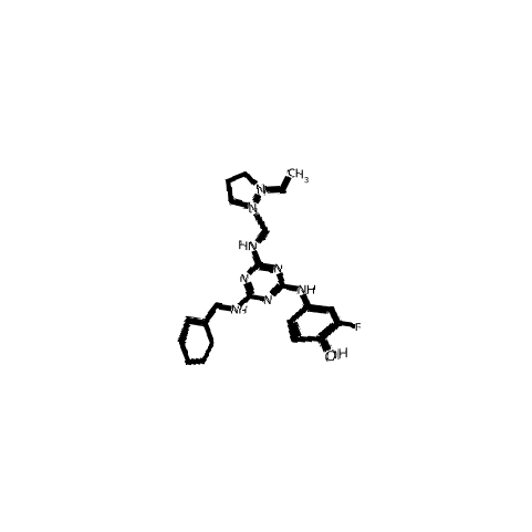 CCN1CCCN1CNc1nc(NCC2CCCCC2)nc(Nc2ccc(O)c(F)c2)n1